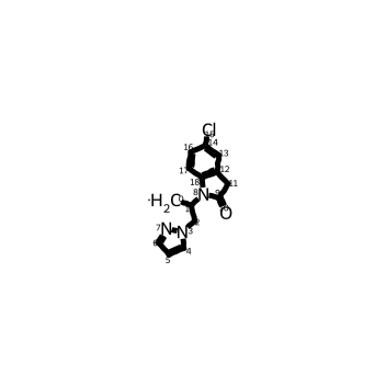 [CH2]C(Cn1cccn1)N1C(=O)Cc2cc(Cl)ccc21